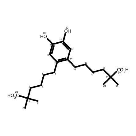 CC(C)(CCCCc1cc(O)c(O)cc1CCCCC(C)(C)C(=O)O)C(=O)O